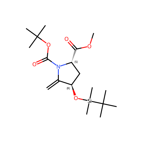 C=C1[C@H](O[Si](C)(C)C(C)(C)C)C[C@@H](C(=O)OC)N1C(=O)OC(C)(C)C